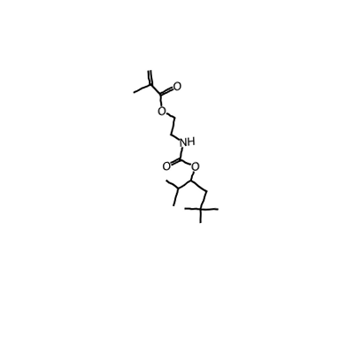 C=C(C)C(=O)OCCNC(=O)OC(CC(C)(C)C)C(C)C